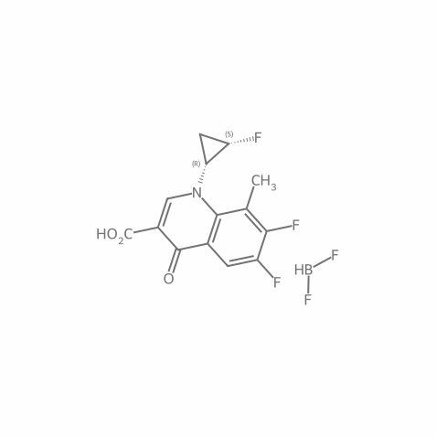 Cc1c(F)c(F)cc2c(=O)c(C(=O)O)cn([C@@H]3C[C@@H]3F)c12.FBF